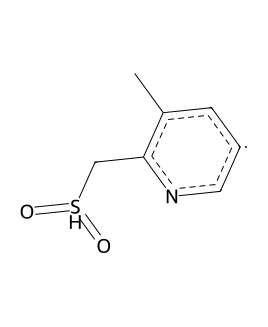 Cc1c[c]cnc1C[SH](=O)=O